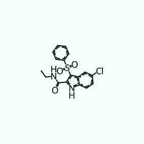 CCNC(=O)c1[nH]c2ccc(Cl)cc2c1S(=O)(=O)c1ccccc1